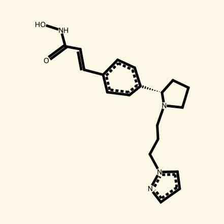 O=C(/C=C/c1ccc([C@@H]2CCCN2CCCn2cccn2)cc1)NO